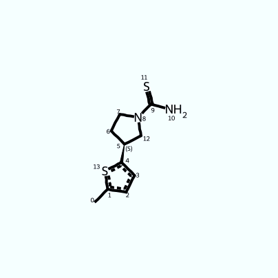 Cc1ccc([C@H]2CCN(C(N)=S)C2)s1